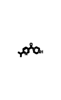 CC(C)c1ccc(C(=O)N2CCNCC2)cn1